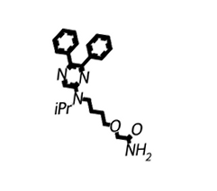 CC(C)N(CCCCOCC(N)=O)c1cnc(-c2ccccc2)c(-c2ccccc2)n1